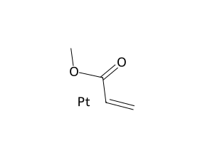 C=CC(=O)OC.[Pt]